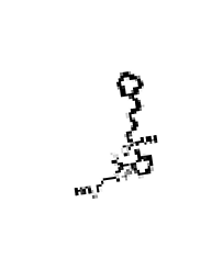 O=C(O)CNC(=O)[C@@H]1CCCN1P(=O)(O)CCCCc1ccccc1